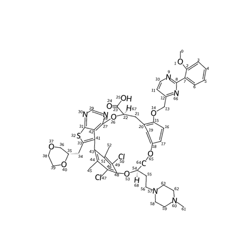 COc1ccccc1-c1nccc(COc2ccc3cc2C[C@H](C(=O)O)Oc2ncnc4sc(C[C@H]5COCCO5)c(c24)-c2c(C)c(Cl)c(c(Cl)c2C)O[C@H](CCN2CCN(C)CC2)CO3)n1